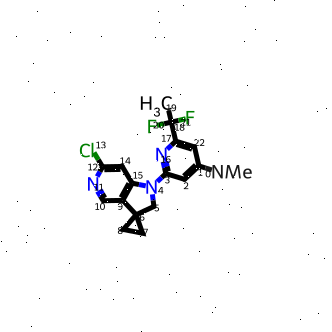 CNc1cc(N2CC3(CC3)c3cnc(Cl)cc32)nc(C(C)(F)F)c1